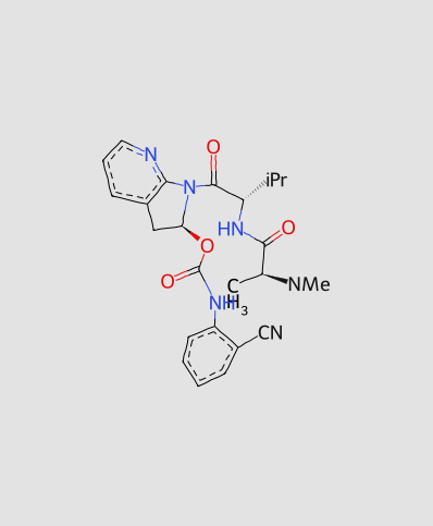 CN[C@@H](C)C(=O)N[C@H](C(=O)N1c2ncccc2C[C@@H]1OC(=O)Nc1ccccc1C#N)C(C)C